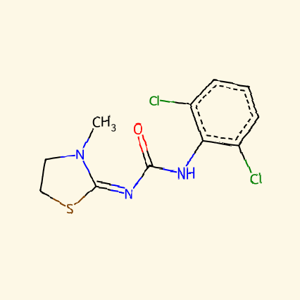 CN1CCSC1=NC(=O)Nc1c(Cl)cccc1Cl